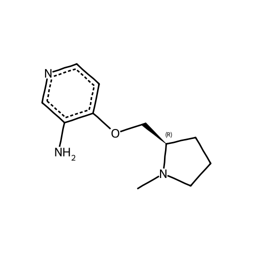 CN1CCC[C@@H]1COc1ccncc1N